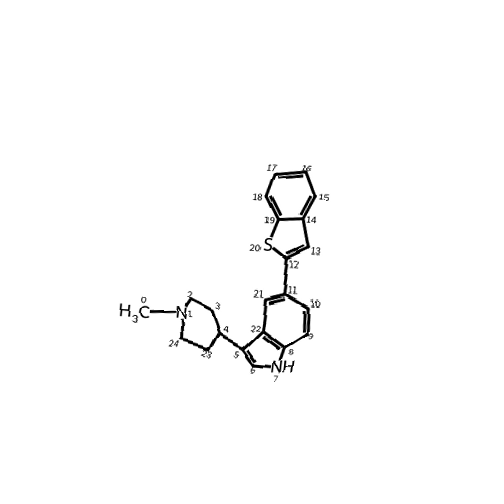 CN1CCC(c2c[nH]c3ccc(-c4cc5ccccc5s4)cc23)CC1